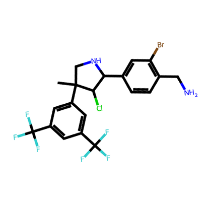 CC1(c2cc(C(F)(F)F)cc(C(F)(F)F)c2)CNC(c2ccc(CN)c(Br)c2)C1Cl